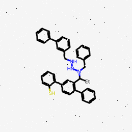 CCC(c1cc(-c2ccccc2S)ccc1-c1ccccc1)N(Cc1ccccc1)NNCc1cccc(-c2ccccc2)c1